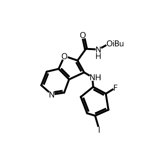 CC(C)CONC(=O)c1oc2ccncc2c1Nc1ccc(I)cc1F